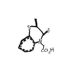 CC1Sc2ccccc2N(CC(=O)O)C1=S